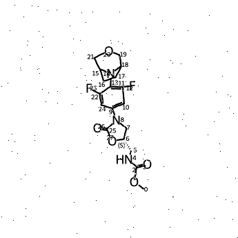 COC(=O)NC[C@H]1CN(c2cc(F)c(N3C4CCC3COC4)c(F)c2)C(=O)O1